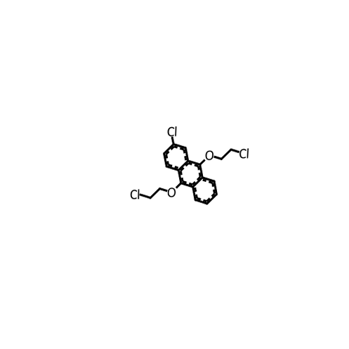 ClCCOc1c2ccccc2c(OCCCl)c2cc(Cl)ccc12